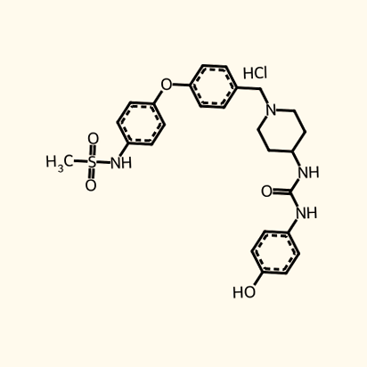 CS(=O)(=O)Nc1ccc(Oc2ccc(CN3CCC(NC(=O)Nc4ccc(O)cc4)CC3)cc2)cc1.Cl